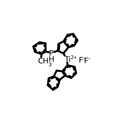 Cc1ccccc1PC1=Cc2ccccc2[CH]1[Ti+2][c]1cccc2c1Cc1ccccc1-2.[F-].[F-]